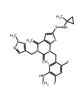 C=C1c2cc(SNC3(C)CC3)sc2N(Cc2cc(NC)c(F)cc2F)C(=C)N1Cc1cnn(C)c1